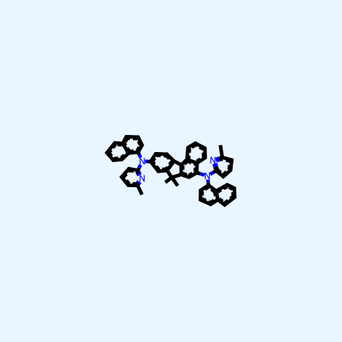 Cc1cccc(N(c2ccc3c(c2)C(C)(C)c2cc(N(c4cccc(C)n4)c4cccc5ccccc45)c4ccccc4c2-3)c2cccc3ccccc23)n1